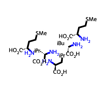 CC(C)C[C@H](N)C(=O)O.CC(C)[C@H](N)C(=O)O.CC[C@H](C)[C@H](N)C(=O)O.CSCC[C@H](N)C(=O)O.CSCC[C@H](N)C(=O)O